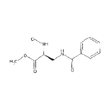 COC(=O)[C@H](CNC(=O)c1ccccc1)NCl